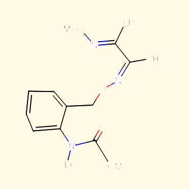 CCN(C(=O)OC)c1ccccc1CON=C(C)C(C)=NOC